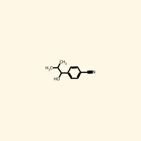 CC(C)C(O)c1ccc(C#N)cc1